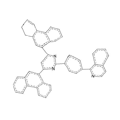 C1=Cc2c(cc(-c3cc(-c4cc5ccccc5c5ccccc45)nc(-c4ccc(-c5nccc6ccccc56)cc4)n3)c3ccccc23)CC1